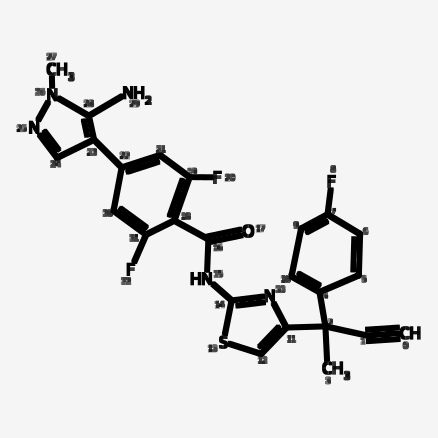 C#CC(C)(c1ccc(F)cc1)c1csc(NC(=O)c2c(F)cc(-c3cnn(C)c3N)cc2F)n1